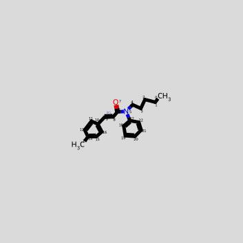 CCCCCN(C(=O)/C=C/c1ccc(C)cc1)c1ccccc1